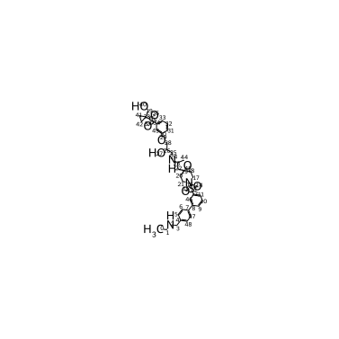 CCNCc1ccc(-c2cccc(S(=O)(=O)N3CCC4(CC3)C[C@@H](NC[C@H](O)COc3cccc(S(=O)(=O)C5(CO)CC5)c3)CO4)c2)cc1